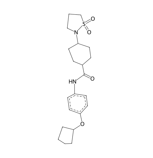 O=C(Nc1ccc(OC2CCCC2)cc1)C1CCC(N2CCCS2(=O)=O)CC1